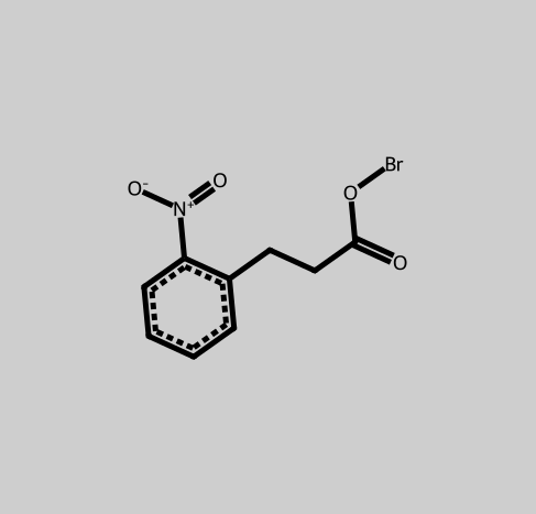 O=C(CCc1ccccc1[N+](=O)[O-])OBr